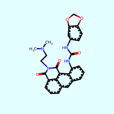 CN(C)CCN1C(=O)c2cccc3cc4cccc(NC(=O)Nc5ccc6c(c5)OCO6)c4c(c23)C1=O